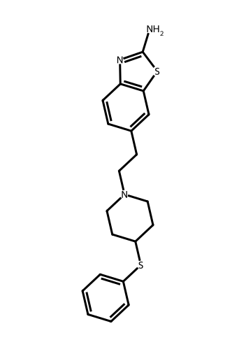 Nc1nc2ccc(CCN3CCC(Sc4ccccc4)CC3)cc2s1